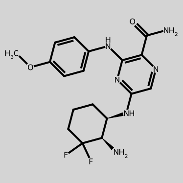 COc1ccc(Nc2nc(N[C@@H]3CCCC(F)(F)[C@@H]3N)cnc2C(N)=O)cc1